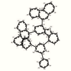 c1ccc(-c2cc(-c3cccc4oc5c(-c6cc7ccccc7c7ccccc67)cc(-c6cc7ccccc7c7ccccc67)cc5c34)nc(-c3ccccc3)n2)cc1